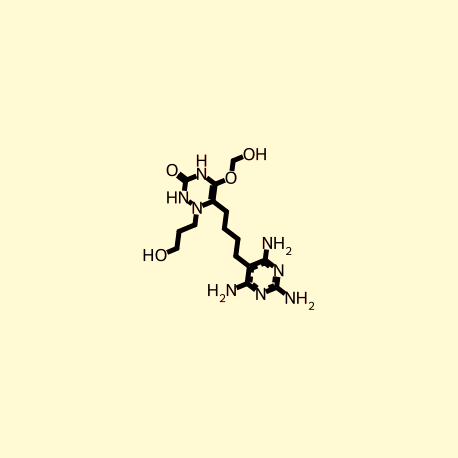 Nc1nc(N)c(CCCCC2=C(OCO)NC(=O)NN2CCCO)c(N)n1